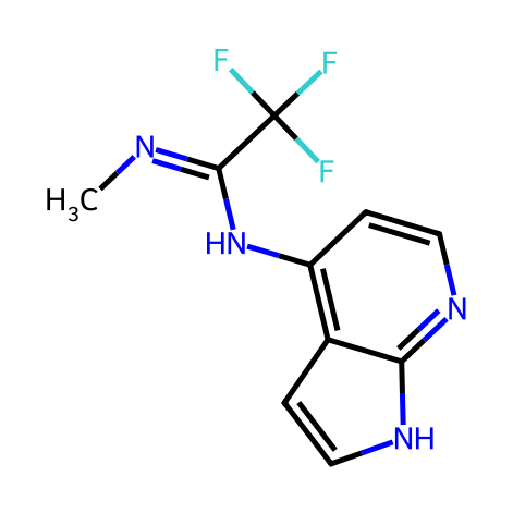 C/N=C(\Nc1ccnc2[nH]ccc12)C(F)(F)F